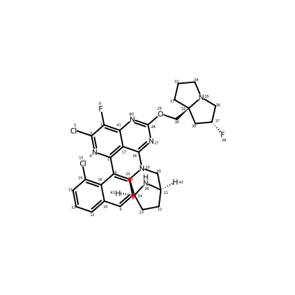 Fc1c(Cl)nc(-c2cccc3cccc(Cl)c23)c2c(N3C[C@H]4CC[C@@H](C3)N4)nc(OC[C@@]34CCCN3C[C@H](F)C4)nc12